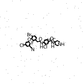 CC1(NC(=O)c2ccc(NC(=O)Cc3ccc(Br)c(Oc4cc(Cl)cc(C#N)c4)c3F)c(Cl)c2)CCNCC1